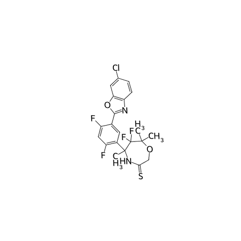 CC1(C)OCC(=S)NC(C)(c2cc(-c3nc4ccc(Cl)cc4o3)c(F)cc2F)C1(F)F